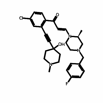 C[C@H]1CN(Cc2ccc(F)cc2)CCN1/C=C/C(=O)c1ccc(Cl)cc1C#CC1(O)CCN(C)CC1